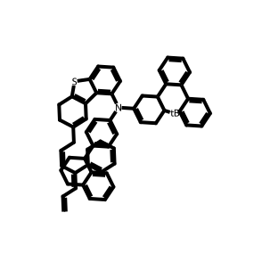 C=C/C=C(\C=C/CC1=Cc2c(sc3cccc(N(C4=CCC(C(C)(C)C)C(c5ccccc5-c5ccccc5)C4)c4ccc(C5CCCc6ccccc65)cc4)c23)CC1)C1=CC=CCC1